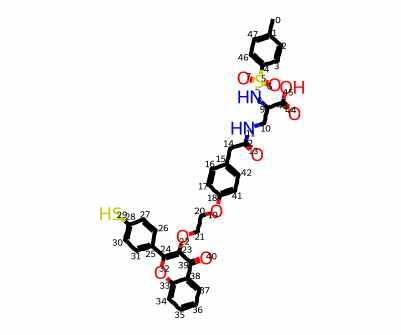 Cc1ccc(S(=O)(=O)NC(CNC(=O)Cc2ccc(OCCOc3c(-c4ccc(S)cc4)oc4ccccc4c3=O)cc2)C(=O)O)cc1